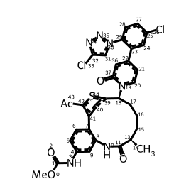 COC(=O)Nc1ccc2c(c1)NC(=O)[C@H](C)CCC[C@H](n1ccc(-c3cc(Cl)ccc3-n3cc(Cl)nn3)cc1=O)c1cc-2c(C(C)=O)s1